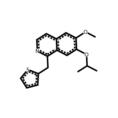 COc1cc2ccnc(Cc3cccs3)c2cc1OC(C)C